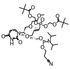 COCCOC[C@@H](O[C@H](/C=C/P(=O)(OCOC(=O)C(C)(C)C)OCOC(=O)C(C)(C)C)COP(OCCC#N)N(C(C)C)C(C)C)n1ccc(=O)[nH]c1=O